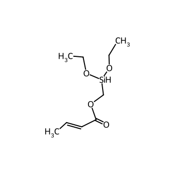 CC=CC(=O)OC[SiH](OCC)OCC